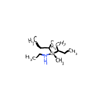 CCN[Si](C)(C(C)CC)C(C)CC